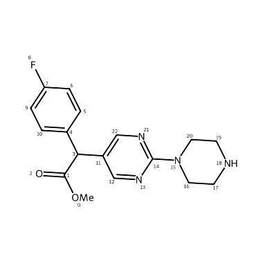 COC(=O)C(c1ccc(F)cc1)c1cnc(N2CCNCC2)nc1